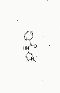 Cn1cc(NC(=O)c2cnccn2)cn1